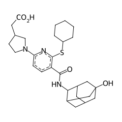 O=C(O)CC1CCN(c2ccc(C(=O)NC3C4CC5CC3CC(O)(C5)C4)c(SC3CCCCC3)n2)C1